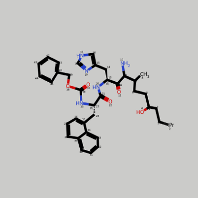 CC(C)CCC(O)CCC(C)C(N)C(=O)[C@H](Cc1c[nH]cn1)NC(=O)[C@H](Cc1cccc2ccccc12)NC(=O)OCc1ccccc1